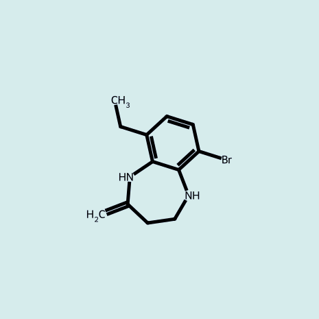 C=C1CCNc2c(Br)ccc(CC)c2N1